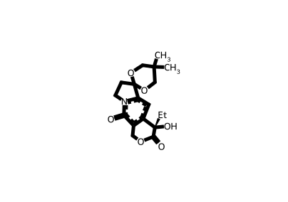 CC[C@@]1(O)C(=O)OCc2c1cc1n(c2=O)CCC12OCC(C)(C)CO2